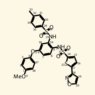 COc1ccc(Oc2ccc(NS(=O)(=O)c3ccc(-c4ccon4)s3)c(NS(=O)(=O)c3ccc(C)cc3)c2)cc1